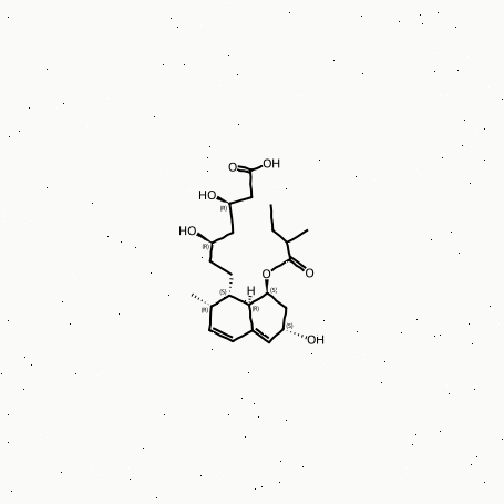 CCC(C)C(=O)O[C@H]1C[C@H](O)C=C2C=C[C@H](C)[C@H](CC[C@@H](O)C[C@@H](O)CC(=O)O)[C@H]21